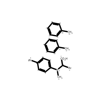 CC(=O)C(C(=O)O)N(C)c1ccc(C(C)C)cc1.Cc1ccccc1.Cc1ccccc1